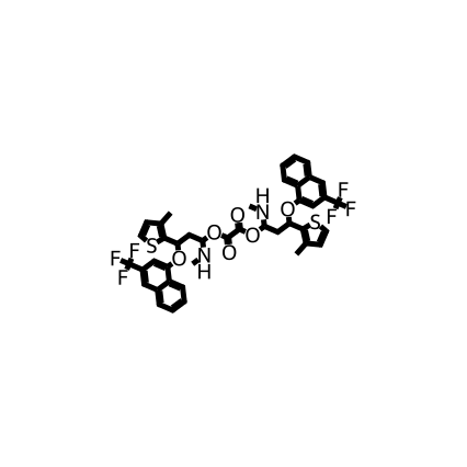 CNC(CC(Oc1cc(C(F)(F)F)cc2ccccc12)c1sccc1C)OC(=O)C(=O)OC(CC(Oc1cc(C(F)(F)F)cc2ccccc12)c1sccc1C)NC